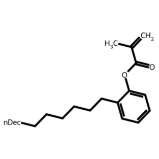 C=C(C)C(=O)Oc1ccccc1CCCCCCCCCCCCCCCC